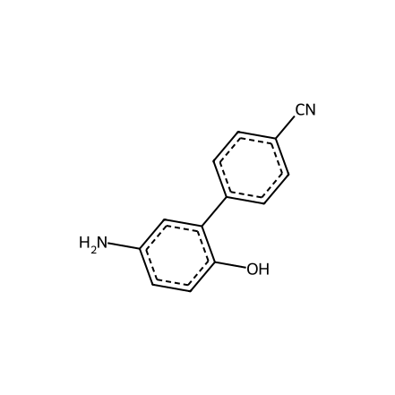 N#Cc1ccc(-c2cc(N)ccc2O)cc1